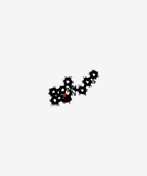 c1ccc(-c2nc(-c3cccc(-c4ccc5c(c4)sc4ccccc45)c3)nc(-c3ccccc3-c3ccc4c(c3)-c3ccccc3C43c4ccccc4-c4ccccc43)n2)cc1